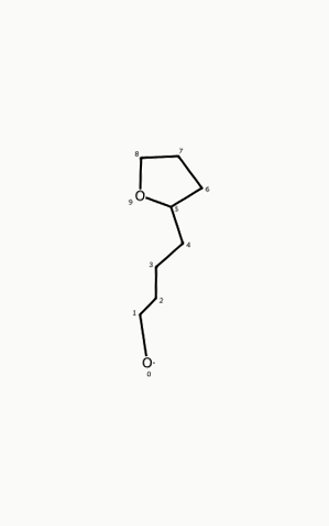 [O]CCCCC1CCCO1